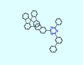 c1ccc(-c2cccc(-c3nc(-c4ccccc4)nc(-c4ccc5cc(-c6cccc7c6C6(c8ccccc8-c8ccccc86)c6ccccc6-7)ccc5c4)n3)c2)cc1